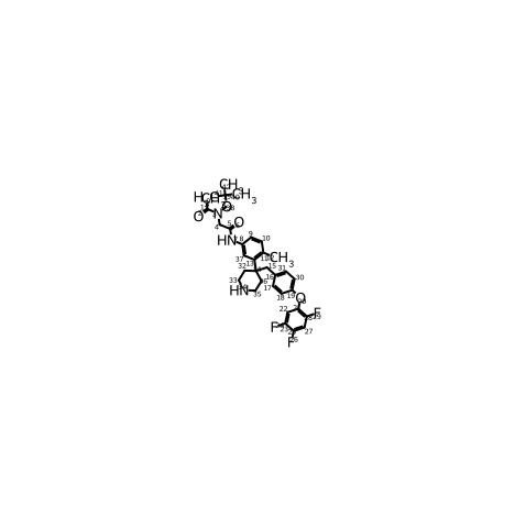 CC(=O)N(CC(=O)Nc1ccc(C)c(C2(Cc3ccc(Oc4cc(F)c(F)cc4F)cc3)CCNCC2)c1)OC(C)(C)C